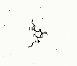 CCCNc1nc(NCCC)nc(SC)n1